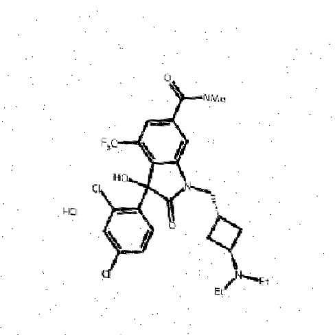 CCN(CC)[C@H]1C[C@H](CN2C(=O)C(O)(c3ccc(Cl)cc3Cl)c3c2cc(C(=O)NC)cc3C(F)(F)F)C1.Cl